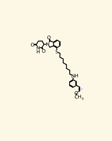 CO/C=C\c1cccc(NCCCCCCCCSc2cccc3c2CN(C2CCC(=O)NC2=O)C3=O)c1